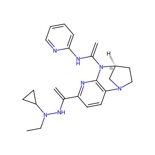 C=C(NN(CC)C1CC1)c1ccc2c(n1)N(C(=C)Nc1ccccn1)[C@H]1CCN2C1